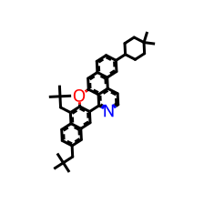 CC(C)(C)Cc1ccc2c(CC(C)(C)C)c3c(cc2c1)-c1nccc2c1c(cc1ccc(C4CCC(C)(C)CC4)cc12)O3